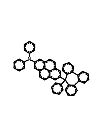 c1ccc(N(c2ccccc2)c2cc3ccc4cc(C5(c6ccccc6)c6ccccc6-c6ccccc6-c6ccccc65)cc5ccc(c2)c3c45)cc1